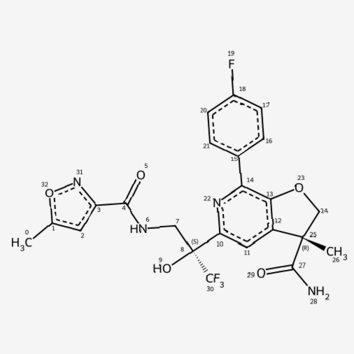 Cc1cc(C(=O)NC[C@](O)(c2cc3c(c(-c4ccc(F)cc4)n2)OC[C@]3(C)C(N)=O)C(F)(F)F)no1